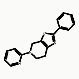 c1ccc(-c2nc3c(o2)CN(c2ccccn2)CC3)cc1